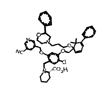 CC1(C)C(c2ccccc2)=CC=CC1(COc1cc(OCc2cncc(C#N)c2)c(CN2CCCC[C@H]2C(=O)O)cc1Cl)OCCCN1CCOC(c2ccccc2)C1